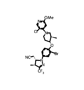 COc1cc(N2CC[C@@H](Oc3ccc(N4N=C(C(F)(F)F)[C@@H](C)[C@@H]4CC#N)cc3Br)[C@H](C)C2)c(Cl)cn1